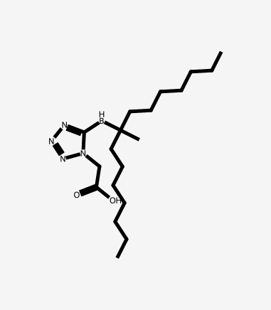 CCCCCCCC(C)(Bc1nnnn1CC(=O)O)CCCCCCC